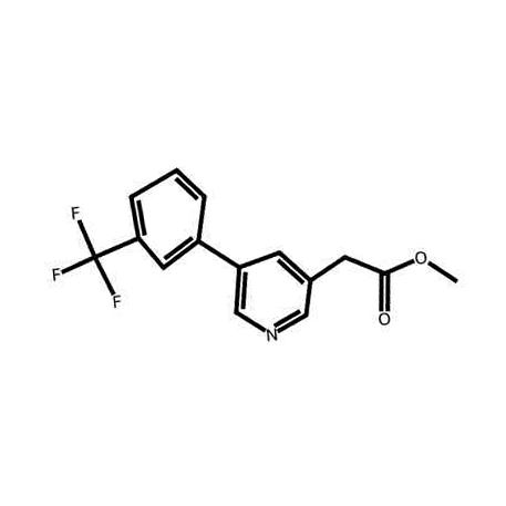 COC(=O)Cc1cncc(-c2cccc(C(F)(F)F)c2)c1